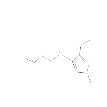 CCCCNc1n[s+]([O-])nc1NC